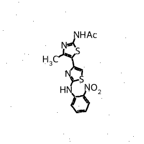 CC(=O)Nc1nc(C)c(-c2csc(Nc3ccccc3[N+](=O)[O-])n2)s1